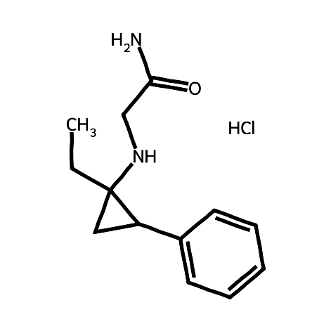 CCC1(NCC(N)=O)CC1c1ccccc1.Cl